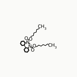 CCCCCCCOC(=O)N1CN(C(=O)OCCCCCCC)c2ccccc2-c2ccccc21